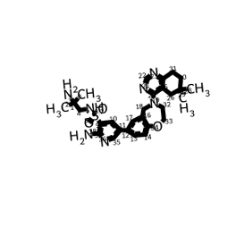 CC(C)(N)CNS(=O)(=O)c1cc(-c2ccc3c(c2)CN(c2ncnc4c2CC(C)(C)CC4)CCO3)cnc1N